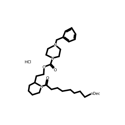 CCCCCCCCCCCCCCCCCC(=O)N1CCCCC1CCOC(=O)N1CCN(Cc2ccccc2)CC1.Cl